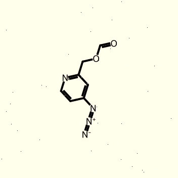 [N-]=[N+]=Nc1ccnc(COC=O)c1